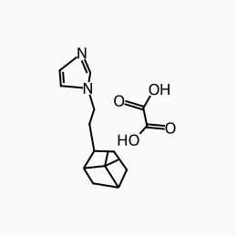 CC1(C)C2CCC(CCn3ccnc3)C1C2.O=C(O)C(=O)O